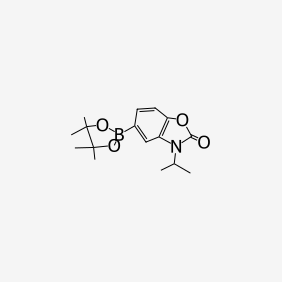 CC(C)n1c(=O)oc2ccc(B3OC(C)(C)C(C)(C)O3)cc21